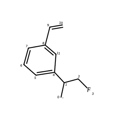 [CH2]C(CF)c1cccc(C=C)c1